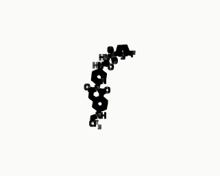 O=C(Nc1ccc(N2C(=O)Cc3cc(NCC(F)(F)F)ccc3C2=O)nc1)NS(=O)(=O)c1ccc(F)s1